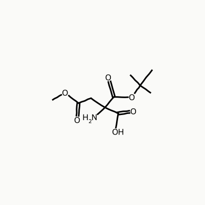 COC(=O)CC(N)(C(=O)O)C(=O)OC(C)(C)C